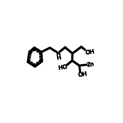 OCC(CNCc1ccccc1)C(O)[CH](O)[Zn]